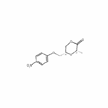 C[C@@H]1O[C@H](COc2ccc([N+](=O)[O-])cc2)COC1=O